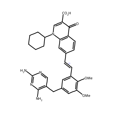 COc1cc(Cc2cnc(N)nc2N)cc(/C=C/c2ccc3c(=O)c(C(=O)O)cn(C4CCCCC4)c3c2)c1OC